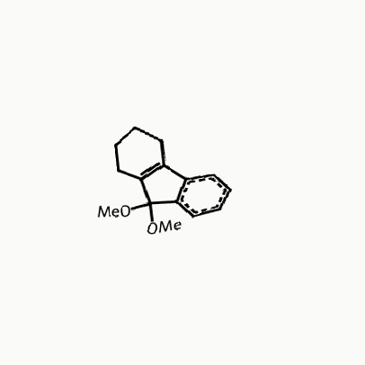 COC1(OC)C2=C(CCCC2)c2ccccc21